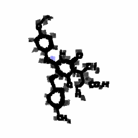 Cc1ccc(Cn2c(=O)n([C@@H](C)[C@@H](C)C(=O)O)c(=O)[nH]/c2=N\c2ccc(OC(C)C)cc2)cc1